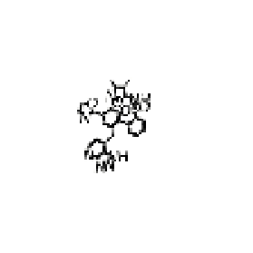 Cc1noc(NS(=O)(=O)c2ccccc2-c2ccc(-c3ncco3)cc2Cc2ccnc3nn[nH]c23)c1C